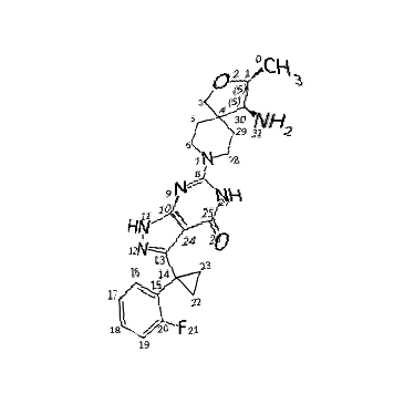 C[C@@H]1OCC2(CCN(c3nc4[nH]nc(C5(c6ccccc6F)CC5)c4c(=O)[nH]3)CC2)[C@@H]1N